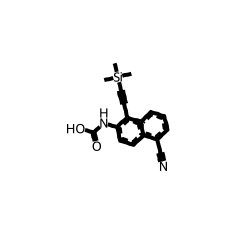 C[Si](C)(C)C#Cc1c(NC(=O)O)ccc2c(C#N)cccc12